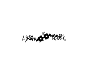 C[N+](C)(C)CCO/N=C/c1ccc(-c2ccc(/C=N/OCC[N+](C)(C)C)cc2)cc1.[I-].[I-]